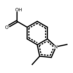 Cc1cn(C)c2ccc(C(=O)O)cc12